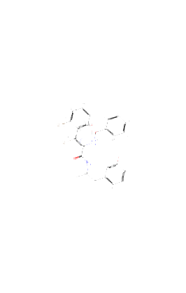 CC(Cc1cccc(O)c1)NC(=O)/C(NC(=O)c1ccccc1)=C(\Br)c1ccccc1Br